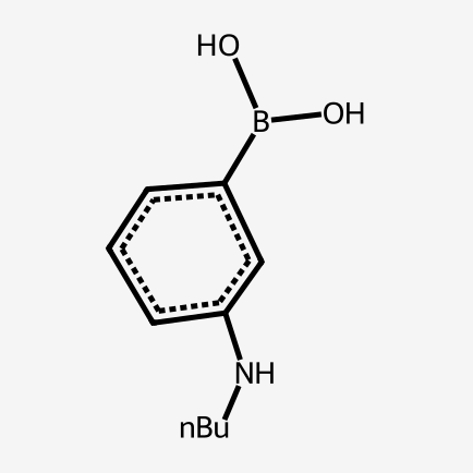 CCCCNc1cccc(B(O)O)c1